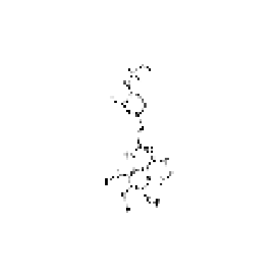 C=CC(C)(C)Oc1ccc(C=CC(=O)Nc2c(SF)c(SF)c(SF)c(SF)c2SF)cc1F